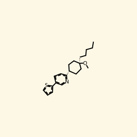 CCCCC[C@]1(OC)CC[C@H](c2ccc(-c3cccs3)cn2)CC1